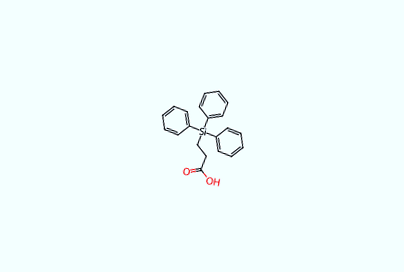 O=C(O)CC[Si](c1ccccc1)(c1ccccc1)c1ccccc1